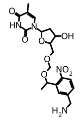 Cc1cn(C2CC(O)C(COCOC(C)c3cc(CN)ccc3[N+](=O)[O-])O2)c(=O)[nH]c1=O